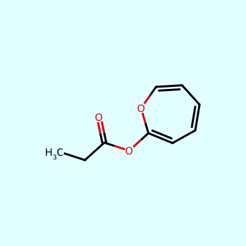 CCC(=O)OC1=CC=CC=CO1